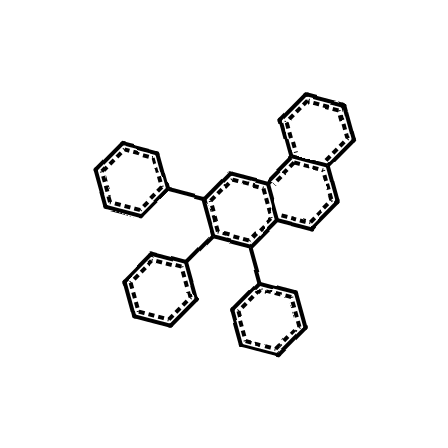 c1ccc(-c2cc3c(ccc4ccccc43)c(-c3ccccc3)c2-c2ccccc2)cc1